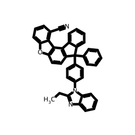 CCc1nc2ccccc2n1-c1ccc(C2(c3ccccc3)c3ccccc3-c3c2ccc2oc4cccc(C#N)c4c32)cc1